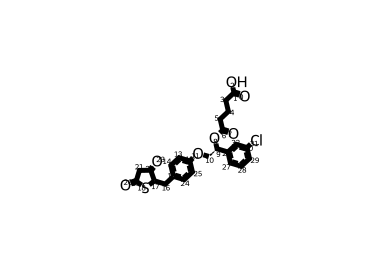 O=C(O)CCCC(=O)O[C@@H](COc1ccc(CC2SC(=O)CC2=O)cc1)c1cccc(Cl)c1